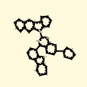 c1ccc(-c2ccc3c(-c4cccc5c4sc4ccccc45)nc(-n4c5ccccc5c5cc6ccccc6cc54)nc3c2)cc1